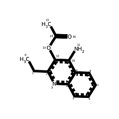 CCc1nc2ccccc2c(N)c1OC(C)=O